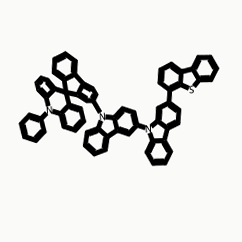 c1ccc(N2c3ccccc3C3(c4ccccc4-c4ccc(-n5c6ccccc6c6cc(-n7c8ccccc8c8ccc(-c9cccc%10c9sc9ccccc9%10)cc87)ccc65)cc43)c3ccccc32)cc1